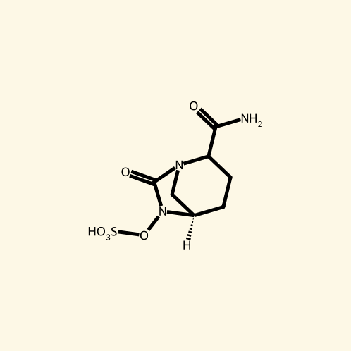 NC(=O)C1CC[C@@H]2CN1C(=O)N2OS(=O)(=O)O